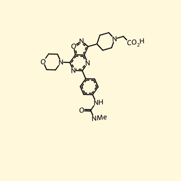 CNC(=O)Nc1ccc(-c2nc(N3CCOCC3)c3onc(C4CCN(CC(=O)O)CC4)c3n2)cc1